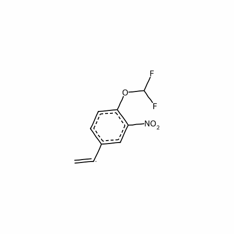 C=[C]c1ccc(OC(F)F)c([N+](=O)[O-])c1